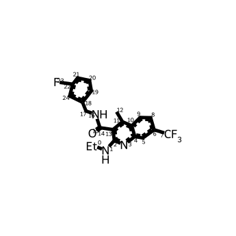 CCNc1nc2cc(C(F)(F)F)ccc2c(C)c1C(=O)NCc1cccc(F)c1